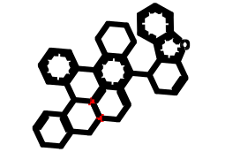 C1=CC2=C(CC1)CCCC2c1ccccc1-c1c2c(c(C3CC=Cc4oc5ccccc5c43)c3c1=CCCC=3)CCCC2